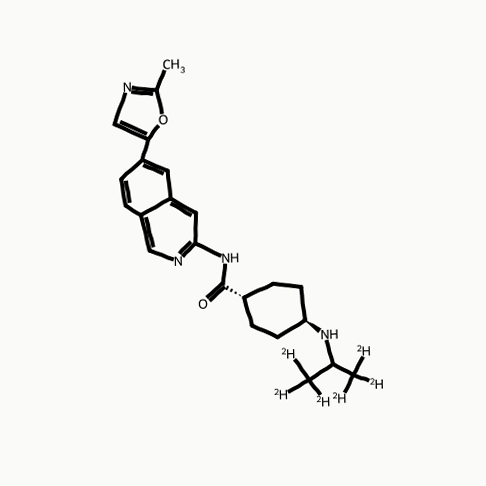 [2H]C([2H])([2H])C(N[C@H]1CC[C@H](C(=O)Nc2cc3cc(-c4cnc(C)o4)ccc3cn2)CC1)C([2H])([2H])[2H]